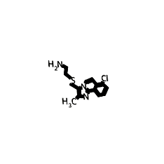 Cc1nc2c3cccc(Cl)c3ccn2c1CSCCN